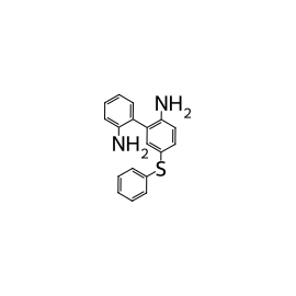 Nc1ccccc1-c1cc(Sc2ccccc2)ccc1N